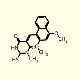 COc1cc(OC)c2ccccc2c1/C=C1/C(=O)NC(S)N(C)C1=O